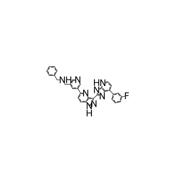 Fc1cccc(-c2ccnc3[nH]c(-c4n[nH]c5ccc(-c6cncc(CNCc7ccccc7)c6)nc45)nc23)c1